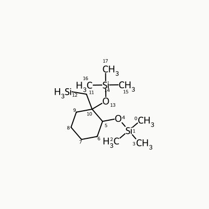 C[Si](C)(C)OC1CCCCC1(C[SiH3])O[Si](C)(C)C